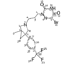 CC12CN(CCCn3nc(Br)c(=O)[nH]c3=O)CC1(c1ccc(C(F)(F)F)cc1)C2